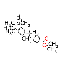 CC(=Cc1ccc(C(=O)OC(C)C)cc1)c1cc2c(cc1C)C(C)(C)C(C)C2(C)C